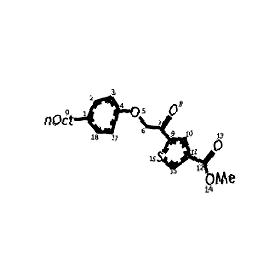 CCCCCCCCc1ccc(OCC(=O)c2cc(C(=O)OC)cs2)cc1